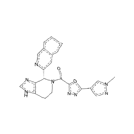 Cn1cc(-c2nnc(C(=O)N3CCc4[nH]cnc4[C@@H]3c3cc4ccccc4cn3)o2)cn1